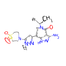 CCn1nc(-c2cn(C(C)C(C)C)c(=O)c3c(N)n[nH]c23)cc1N1CCS(=O)(=O)CC1